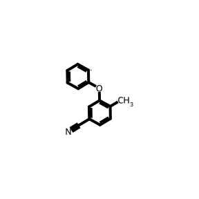 Cc1ccc(C#N)cc1Oc1[c]cccc1